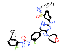 CCOC(=O)/N=[SH](=O)\c1cccc(Nc2ncc(-c3ccc(NC(=O)Nc4cc(C(F)(F)F)ccc4F)c(F)c3)c(NC3CCOCC3)n2)c1